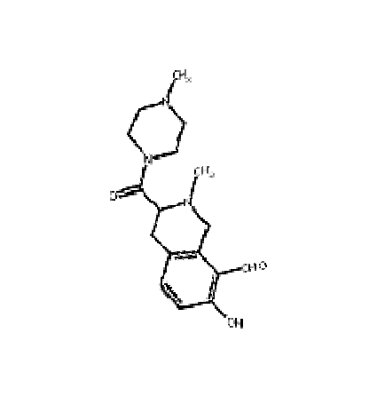 CN1CCN(C(=O)C2Cc3ccc(O)c(C=O)c3CN2C)CC1